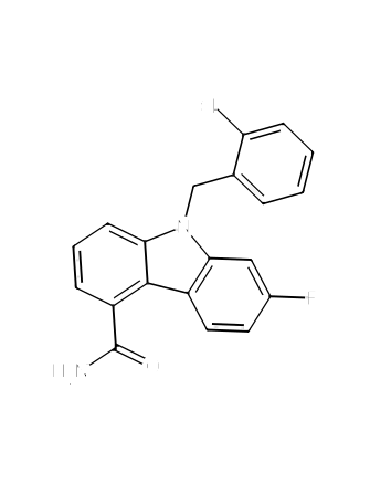 NC(=O)c1cccc2c1c1[c]cc(F)cc1n2Cc1ccccc1Cl